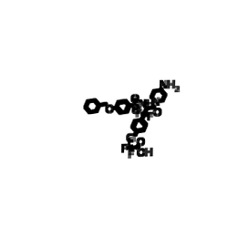 NC1CCN(C(=O)[C@@H](NS(=O)(=O)c2ccc(OCC3CCCCC3)cc2)C(F)(F)c2ccc(Cl)cc2)CC1.O=C(O)C(F)(F)F